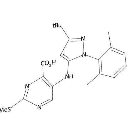 CSc1ncc(Nc2cc(C(C)(C)C)nn2-c2c(C)cccc2C)c(C(=O)O)n1